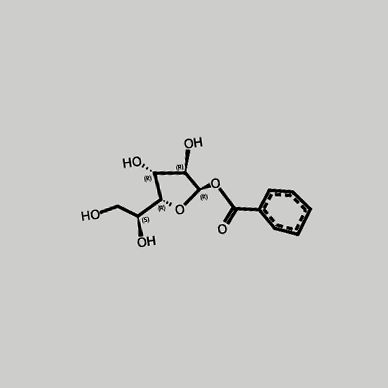 O=C(O[C@H]1O[C@H]([C@@H](O)CO)[C@H](O)[C@H]1O)c1ccccc1